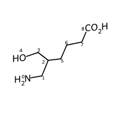 NCC(CO)CCCC(=O)O